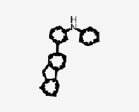 c1ccc(Nc2cccc(-c3ccc4c(c3)Cc3ccccc3-4)c2)cc1